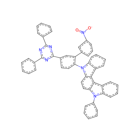 O=[N+]([O-])c1cccc(-c2cc(-c3nc(-c4ccccc4)nc(-c4ccccc4)n3)ccc2-n2c3ccccc3c3c4c5ccccc5n(-c5ccccc5)c4ccc32)c1